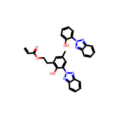 C=CC(=O)OCCc1cc(C)cc(-n2nc3ccccc3n2)c1O.Oc1ccccc1-n1nc2ccccc2n1